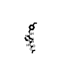 CCc1ccc(CNc2nccn3c(NC(=O)OC(C)C)nnc23)cc1